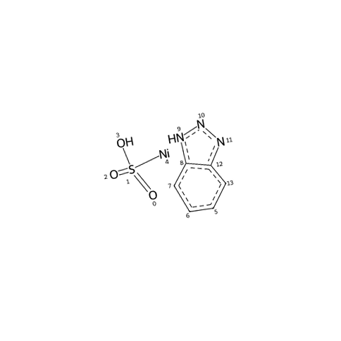 O=[S](=O)(O)[Ni].c1ccc2[nH]nnc2c1